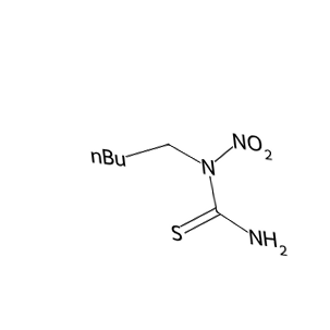 CCCCCN(C(N)=S)[N+](=O)[O-]